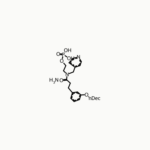 CCCCCCCCCCOc1cccc(CCC(=O)N(CCOP(=O)(O)O)Cc2ccncc2)c1.N